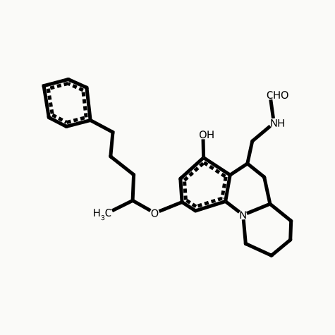 CC(CCCc1ccccc1)Oc1cc(O)c2c(c1)N1CCCCC1CC2CNC=O